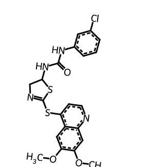 COc1cc2nccc(SC3=NCC(NC(=O)Nc4cccc(Cl)c4)S3)c2cc1OC